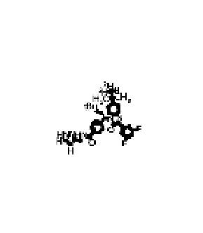 [2H]C([2H])([2H])C(C)(C)C1CCC2(CC1)N=C(c1cc(F)cc(F)c1)C(=O)N2[C@H](CCC(C)(C)C)c1ccc(C(=O)NCC2=NNNN2)cc1